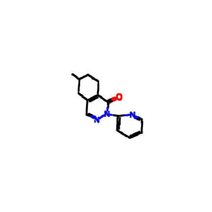 CC1CCc2c(cnn(-c3ccccn3)c2=O)C1